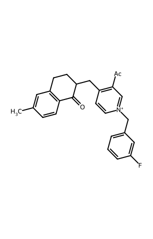 CC(=O)c1c[n+](Cc2cccc(F)c2)ccc1CC1CCc2cc(C)ccc2C1=O